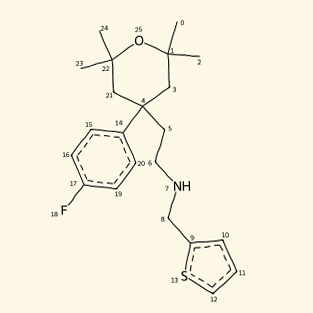 CC1(C)CC(CCNCc2cccs2)(c2ccc(F)cc2)CC(C)(C)O1